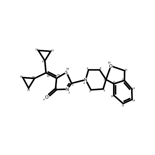 O=C1N=C(N2CCC3(CC2)OCc2ccccc23)SC1=C(C1CC1)C1CC1